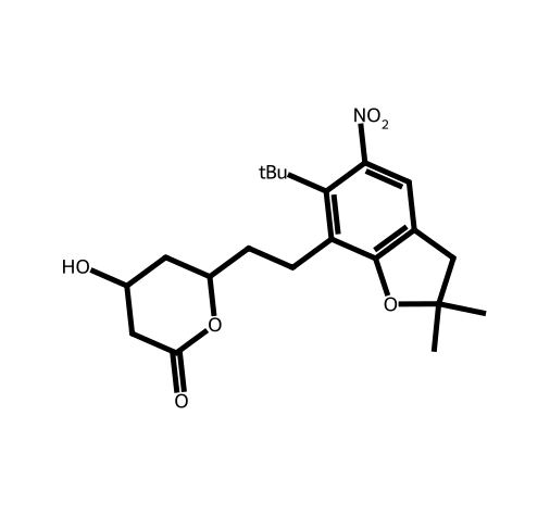 CC1(C)Cc2cc([N+](=O)[O-])c(C(C)(C)C)c(CCC3CC(O)CC(=O)O3)c2O1